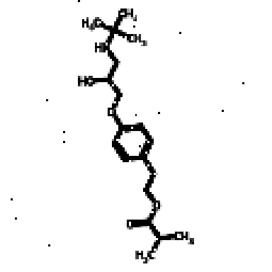 CC(C)C(=O)OCCc1ccc(OCC(O)CNC(C)(C)C)cc1